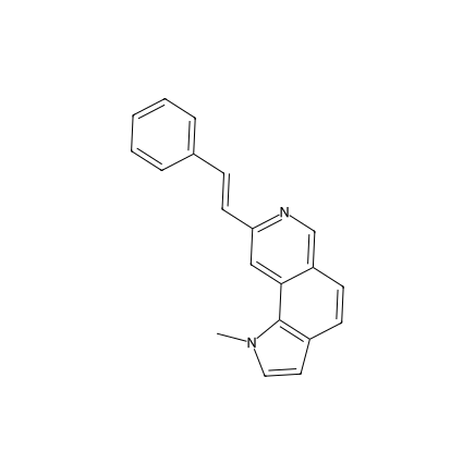 Cn1ccc2ccc3cnc(/C=C/c4ccccc4)cc3c21